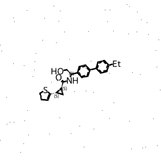 CCc1ccc(-c2ccc([C@H](CO)NC(=O)[C@H]3C[C@@H]3C3=CCCS3)cc2)cc1